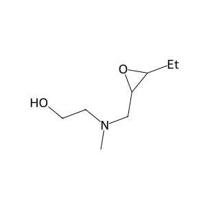 CCC1OC1CN(C)CCO